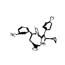 N#Cc1cccc(-c2cc(=O)n3nc(C4CC4)c(-c4ccc(Cl)cc4)c3[nH]2)c1